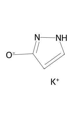 [K+].[O-]c1cc[nH]n1